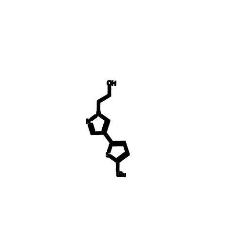 CC(C)(C)c1ccc(-c2cnn(CCO)c2)s1